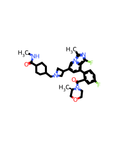 CNC(=O)C1CCC(CN2CC(c3cc(-c4ccc(F)cc4C(=O)N4CCOC[C@H]4C)c4c(F)nc(C)n4c3)C2)CC1